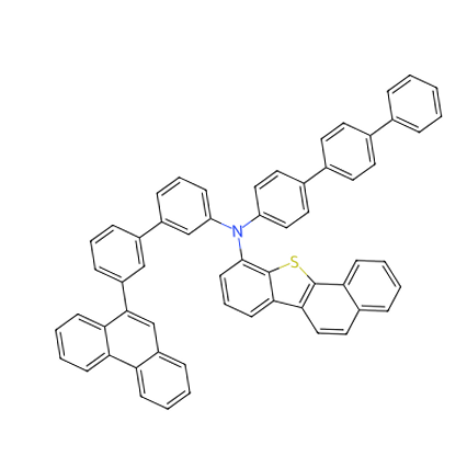 c1ccc(-c2ccc(-c3ccc(N(c4cccc(-c5cccc(-c6cc7ccccc7c7ccccc67)c5)c4)c4cccc5c4sc4c6ccccc6ccc54)cc3)cc2)cc1